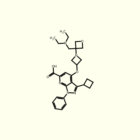 CCN(CC)CC1(N2CC(Oc3cc(C(=O)O)nc4c3c(C3CCC3)nn4-c3ccccc3)C2)COC1